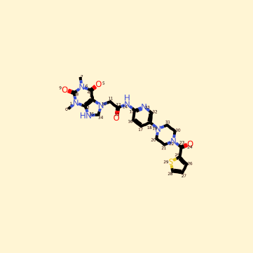 Cn1c2c(c(=O)n(C)c1=O)N(CC(=O)Nc1ccc(N3CCN(C(=O)c4cccs4)CC3)cn1)CN2